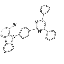 Brc1cccc2c3ccccc3n(-c3ccc(-c4nc(-c5ccccc5)cc(-c5ccccc5)n4)cc3)c12